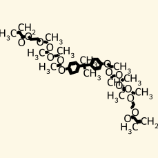 C=C(C)C(=O)OCCOC(C)OC(C)OC(C)OC(C)Oc1ccc(C(C)(C)c2ccc(OC(C)OC(C)OC(C)OC(C)OC(C)OCCOC(=O)C(=C)C)cc2)cc1